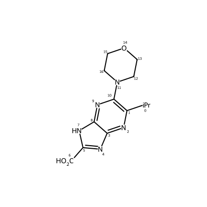 CC(C)c1nc2nc(C(=O)O)[nH]c2nc1N1CCOCC1